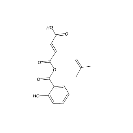 C=C(C)C.O=C(O)C=CC(=O)OC(=O)c1ccccc1O